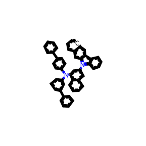 c1ccc(-c2ccc(N(c3cccc(-c4ccccc4)c3)c3cc(-n4c5ccccc5c5cc6ccccc6cc54)cc4ccccc34)cc2)cc1